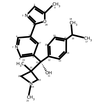 Cc1cnc(-c2cncc([C@@](O)(c3ccc(C(C)C)cc3)C3(C)CN(C)C3)c2)o1